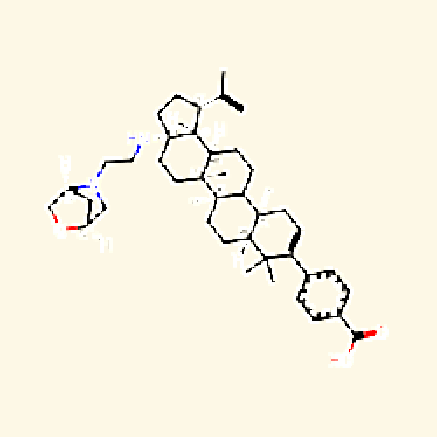 C=C(C)[C@@H]1CC[C@]2(NCCN3C[C@@H]4C[C@H]3CO4)CC[C@]3(C)[C@H](CCC4[C@@]5(C)CC=C(c6ccc(C(=O)O)cc6)C(C)(C)[C@@H]5CC[C@]43C)[C@@H]12